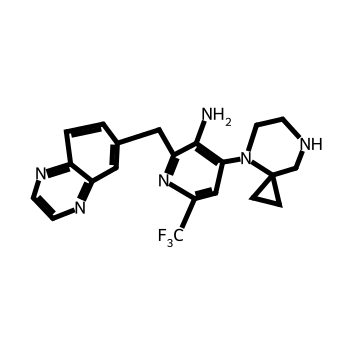 Nc1c(N2CCNCC23CC3)cc(C(F)(F)F)nc1Cc1ccc2nccnc2c1